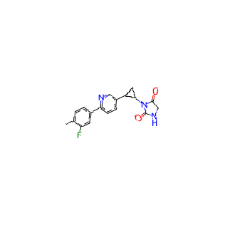 Cc1ccc(-c2ccc(C3CC3N3C(=O)CNC3=O)cn2)cc1F